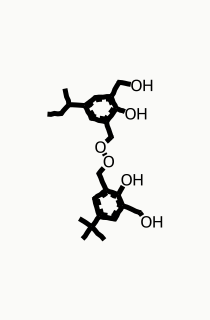 CCC(C)c1cc(CO)c(O)c(COOCc2cc(C(C)(C)C)cc(CO)c2O)c1